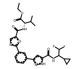 CCOC(=O)[C@@H](NC(=O)c1cnc(-c2cccc(-c3cc(C(=O)NC(C(F)F)C4CC4)[nH]n3)c2)o1)C(C)C